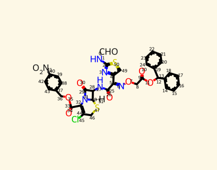 O=CNc1nc(/C(=N\OCC(=O)OC(c2ccccc2)c2ccccc2)C(=O)NC2C(=O)N3C(C(=O)OCc4ccc([N+](=O)[O-])cc4)=C(Cl)CS[C@H]23)cs1